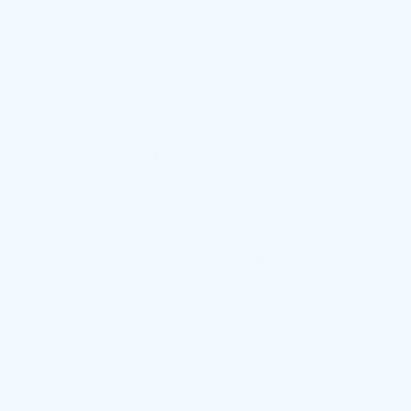 C=Cc1c(C=C)c(/C=C\C)c2ccccc2c1C